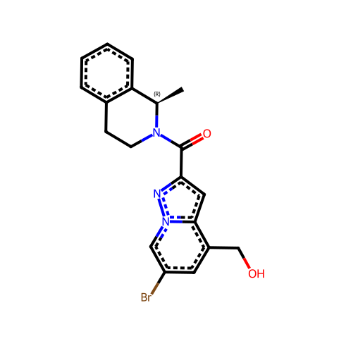 C[C@@H]1c2ccccc2CCN1C(=O)c1cc2c(CO)cc(Br)cn2n1